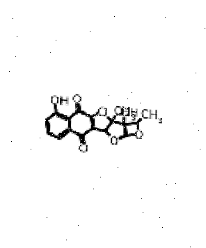 CC1OC2OC3C4=C(OC3(C)C12O)C(=O)c1c(O)cccc1C4=O